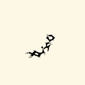 Cc1nn(-c2cccnc2)cc1N(C)C(=O)C1CC(F)(F)C1